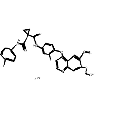 CCOc1cc2c(Oc3ccc(NC(=O)C4(C(=O)Nc5ccc(F)cc5)CC4)cc3F)ccnc2cc1OCC(=O)O.[LiH]